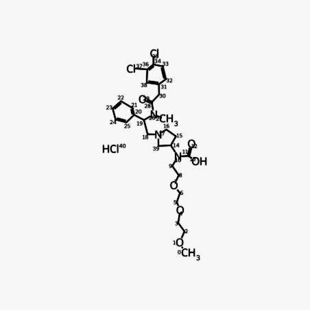 COCCOCCOCCN(C(=O)O)C1CCN(CC(c2ccccc2)N(C)C(=O)Cc2ccc(Cl)c(Cl)c2)C1.Cl